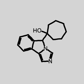 OC1(C2c3ccccc3-c3cncn32)CCCCCC1